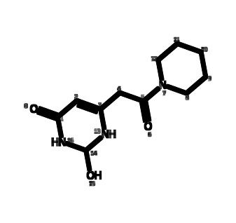 O=C1C=C(CC(=O)N2CCCCC2)NC(O)N1